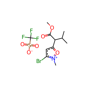 COC(=O)C(c1cc(Br)[n+](C)o1)C(C)C.O=S(=O)([O-])C(F)(F)F